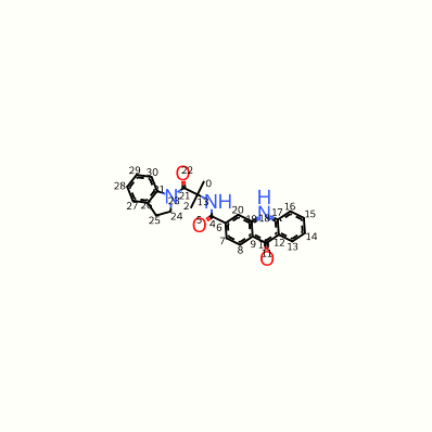 CC(C)(NC(=O)c1ccc2c(=O)c3ccccc3[nH]c2c1)C(=O)N1CCc2ccccc21